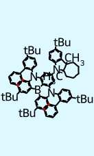 CC(C)(C)c1ccc2c(c1)B1c3cc(C(C)(C)C)ccc3N(c3ccc(C(C)(C)C)cc3-c3ccccc3)c3cc(N4c5ccc(C(C)(C)C)cc5C5(C)CCCCCC45C)cc(c31)N2c1ccc(C(C)(C)C)cc1-c1ccccc1